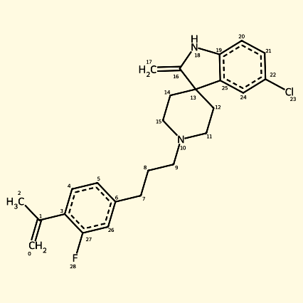 C=C(C)c1ccc(CCCN2CCC3(CC2)C(=C)Nc2ccc(Cl)cc23)cc1F